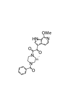 COc1nccc2c(C(=O)C(=O)N3CCN(C(=O)c4ccccc4)C[C@H]3C)c[nH]c12